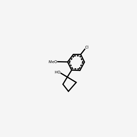 COc1cc(Cl)ccc1C1(O)CCC1